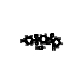 CC[C@@]1(C(=O)N2CCN(S(=O)(=O)c3ccc(F)cc3)CC2)CCCCN1.Cl